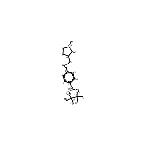 CN1CCC(COc2ccc(B3OC(C)(C)C(C)(C)O3)cc2)C1